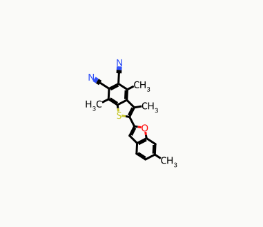 Cc1ccc2cc(-c3sc4c(C)c(C#N)c(C#N)c(C)c4c3C)oc2c1